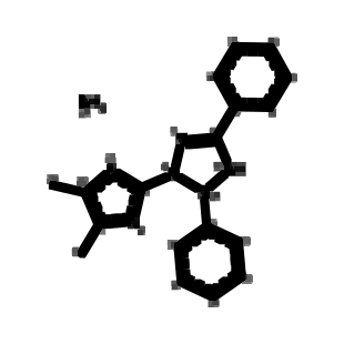 Cc1nc(N2N=C(c3ccccc3)NN2c2ccccc2)sc1C.N